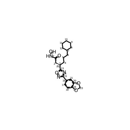 O=C(C[C@@H](CCCC1CCCCC1)c1nc(-c2ccc3c(c2)OCO3)no1)NO